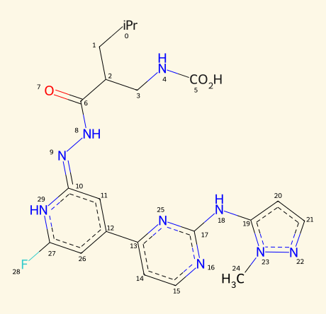 CC(C)CC(CNC(=O)O)C(=O)NN=c1cc(-c2ccnc(Nc3ccnn3C)n2)cc(F)[nH]1